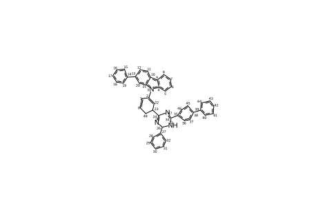 C1=CC(n2c3ccccc3c3ccc(-c4ccccc4)cc32)=CC(C2=NC(c3ccccc3)NC(c3ccc(-c4ccccc4)cc3)=N2)C1